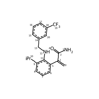 C=C(C(N)=O)c1cccc(C(C)C)c1NCc1cccc(C(F)(F)F)c1